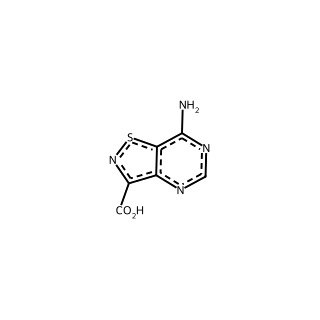 Nc1ncnc2c(C(=O)O)nsc12